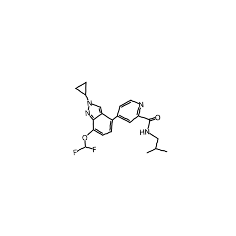 CC(C)CNC(=O)c1cc(-c2ccc(OC(F)F)c3nn(C4CC4)cc23)ccn1